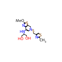 COc1nc2c(s1)CN(SCc1csc(C)n1)C=C2NC(CO)CO